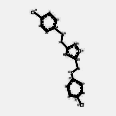 Clc1ccc(SCc2noc(CSc3ccc(Cl)cc3)n2)cc1